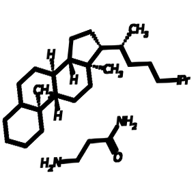 CC(C)CCC[C@@H](C)[C@H]1CC[C@H]2[C@@H]3CCC4CCCC[C@]4(C)[C@H]3CC[C@]12C.NCCC(N)=O